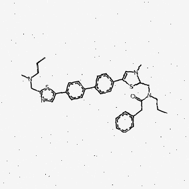 CCCN(C)Cc1ncc(-c2ccc(-c3ccc(C4=CN(C)C(CN(CCC)C(=O)Cc5ccccc5)S4)cc3)cc2)s1